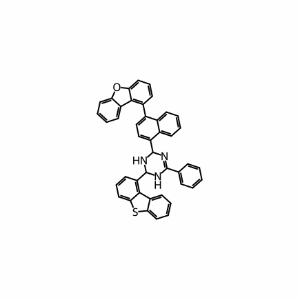 c1ccc(C2=NC(c3ccc(-c4cccc5oc6ccccc6c45)c4ccccc34)NC(c3cccc4sc5ccccc5c34)N2)cc1